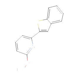 COc1cccc(-c2cc3ccccc3s2)n1